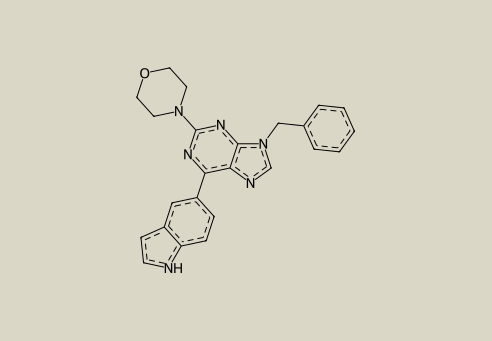 c1ccc(Cn2cnc3c(-c4ccc5[nH]ccc5c4)nc(N4CCOCC4)nc32)cc1